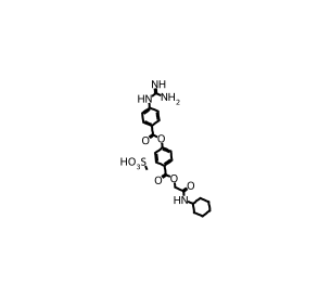 CS(=O)(=O)O.N=C(N)Nc1ccc(C(=O)Oc2ccc(C(=O)OCC(=O)NC3CCCCC3)cc2)cc1